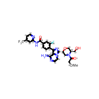 COCC(=O)N1C[C@H](c2nc(-c3ccc(C(=O)Nc4cc(C(F)(F)F)ccn4)cc3F)c3c(N)nccn23)OC[C@H]1CO